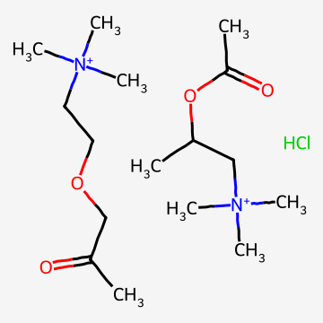 CC(=O)COCC[N+](C)(C)C.CC(=O)OC(C)C[N+](C)(C)C.Cl